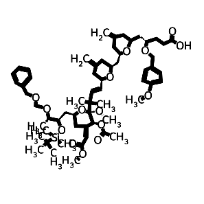 C=C1CC(C[C@H](CCC(=O)O)OCc2ccc(OC)cc2)O[C@@H](C[C@@H]2CC(=C)C[C@H](/C=C/C(C)(C)[C@]3(OC)O[C@H](C[C@@H](O[Si](C)(C)C(C)(C)C)[C@@H](C)OCOCc4ccccc4)C/C(=C\C(=O)OC)[C@@H]3OC(C)=O)O2)C1